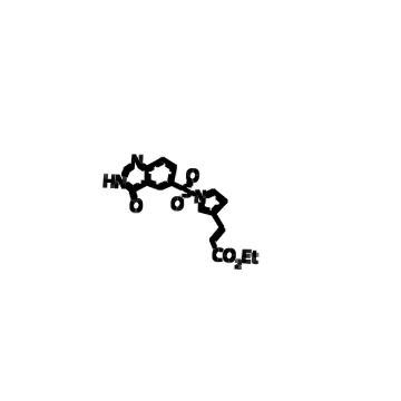 CCOC(=O)C=Cc1ccn(S(=O)(=O)c2ccc3nc[nH]c(=O)c3c2)c1